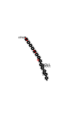 CCCCCCCCC1(CCCCCCCC)c2cc(-c3ccc4c(c3)C(C)(C)c3cc(-c5ccc(C)cc5)ccc3-4)ccc2-c2ccc(-c3ccc4c(c3)oc3cc(-c5ccc(C67CCC(c8ccc(-c9ccc(-c%10ccc(C%11%12CCC(CCCCCC)(CC%11)CC%12)cc%10)cc9)cc8)(CC6)CC7)cc5)ccc34)cc21